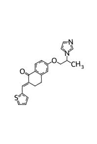 CC(COc1ccc2c(c1)CC/C(=C\c1cccs1)C2=O)n1ccnc1